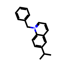 CC(C)c1ccc2c(ccc[n+]2Cc2ccccc2)c1